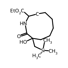 CCOC(=O)C1CCCCCCC(O)(C[Si](C)(C)C)C(=O)N1